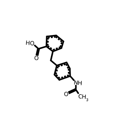 CC(=O)Nc1ccc(Cc2ccccc2C(=O)O)cc1